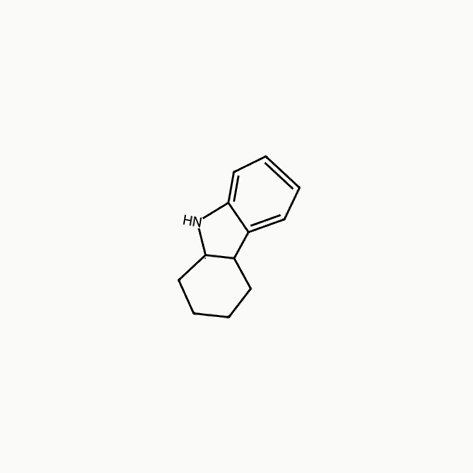 c1ccc2c(c1)N[C]1CCCCC12